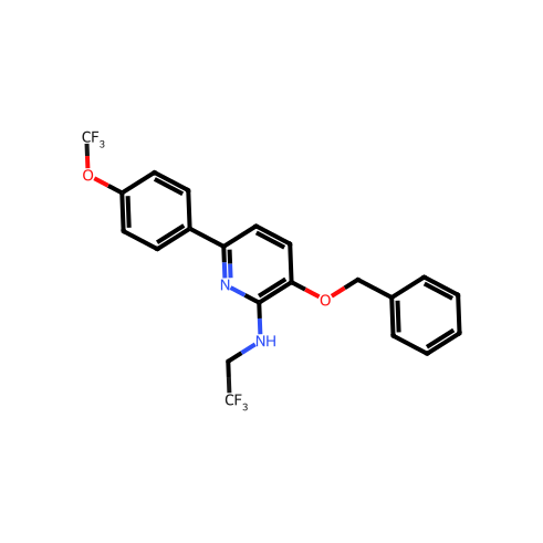 FC(F)(F)CNc1nc(-c2ccc(OC(F)(F)F)cc2)ccc1OCc1ccccc1